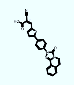 N#C/C(=C/c1ccc(-c2ccc(-n3nc4c5ccccc5ccn4c3=O)cc2)s1)C(=O)O